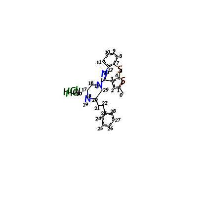 Cc1cc2c(s1)Sc1ccccc1N=C2N1CCN(C)C(CCc2ccccc2)C1.Cl.Cl